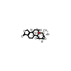 CC(C)[C@]12O[C@H]1[C@@H]1O[C@]13[C@]1(O[C@H]1C[C@H]1C4=C(CC[C@@]13C)C(=O)OC4)[C@@H]2C